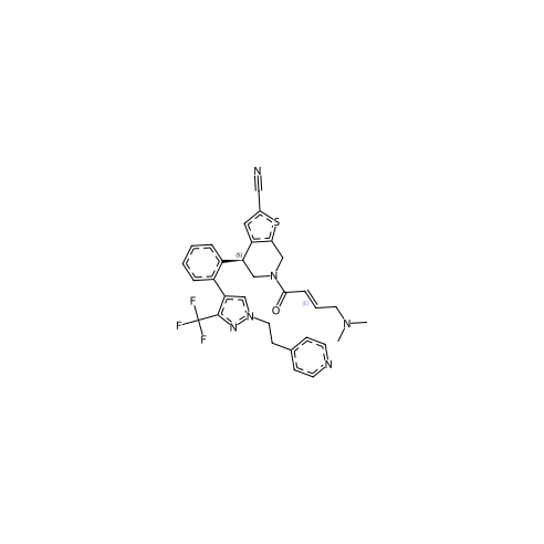 CN(C)C/C=C/C(=O)N1Cc2sc(C#N)cc2[C@H](c2ccccc2-c2cn(CCc3ccncc3)nc2C(F)(F)F)C1